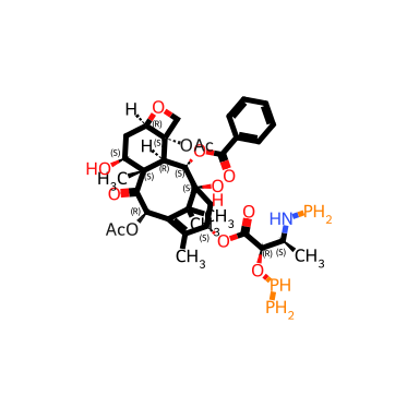 CC(=O)O[C@H]1C(=O)[C@@]2(C)[C@H]([C@H](OC(=O)c3ccccc3)[C@]3(O)C[C@H](OC(=O)[C@H](OPP)[C@H](C)NP)C(C)=C1C3(C)C)[C@]1(OC(C)=O)CO[C@@H]1C[C@@H]2O